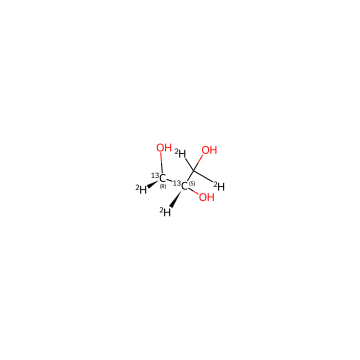 [2H][13C@@H](O)[13C@@]([2H])(O)C([2H])([2H])O